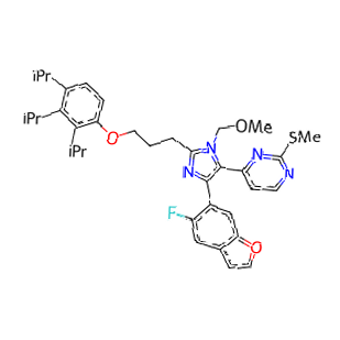 COCn1c(CCCOc2ccc(C(C)C)c(C(C)C)c2C(C)C)nc(-c2cc3occc3cc2F)c1-c1ccnc(SC)n1